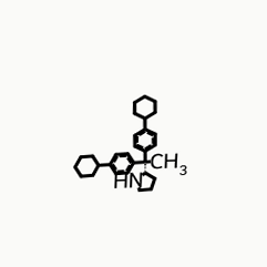 CC(c1ccc(C2CCCCC2)cc1)(c1ccc(C2CCCCC2)cc1)[C@@H]1CCCN1